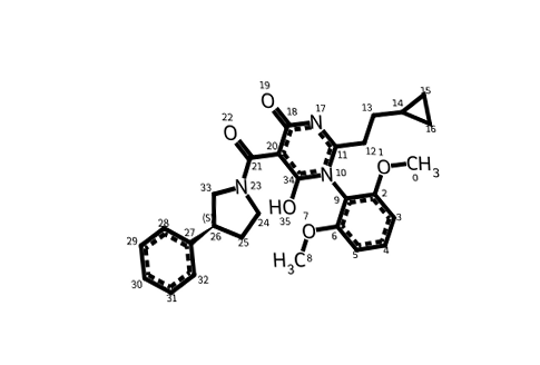 COc1cccc(OC)c1-n1c(CCC2CC2)nc(=O)c(C(=O)N2CC[C@@H](c3ccccc3)C2)c1O